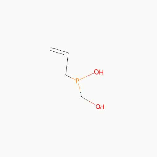 C=CCP(O)CO